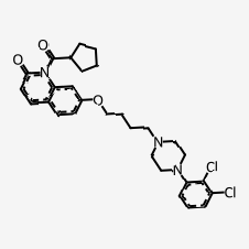 O=C(C1CCCC1)n1c(=O)ccc2ccc(OCCCCN3CCN(c4cccc(Cl)c4Cl)CC3)cc21